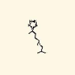 [CH2]C(C)COCCCC(C)n1cnnn1